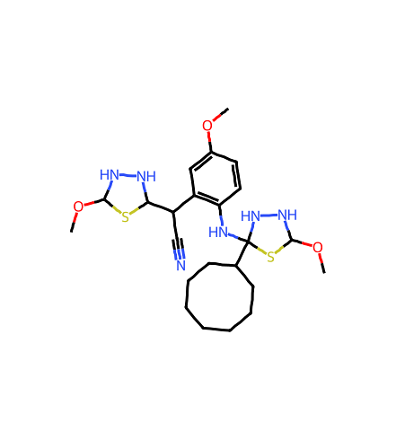 COc1ccc(NC2(C3CCCCCCC3)NNC(OC)S2)c(C(C#N)C2NNC(OC)S2)c1